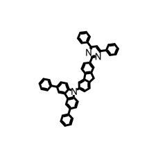 c1ccc(-c2ccc3c(c2)c2cc(-c4ccccc4)ccc2n3-c2ccc3c(c2)-c2ccc(-c4nc(-c5ccccc5)cc(-c5ccccc5)n4)cc2C3)cc1